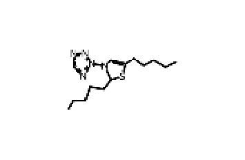 CCCCCC1=CN(n2ncnn2)C(CCCCC)S1